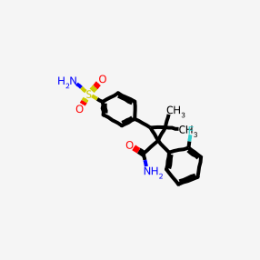 CC1(C)C(c2ccc(S(N)(=O)=O)cc2)C1(C(N)=O)c1ccccc1F